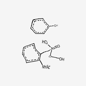 CC(=O)Nc1ccccc1[As](=O)(O)OO.Oc1ccccc1